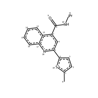 Cc1ccc(-c2cc(C(=O)NC(C)C)c3ccccc3n2)s1